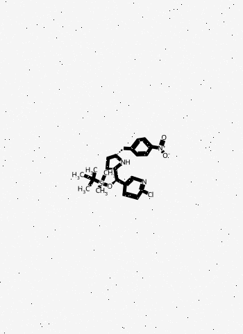 CC(C)(C)[Si](C)(C)O[C@H](c1ccc(Cl)nc1)[C@H]1CC[C@H](Cc2ccc([N+](=O)[O-])cc2)N1